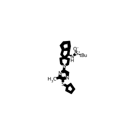 Cc1nc(N2CCC3(CC2)Cc2ccccc2[C@H]3N[S@+]([O-])C(C)(C)C)cnc1SC1CCCC1